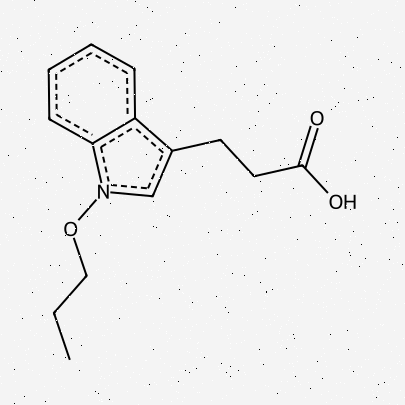 CCCOn1cc(CCC(=O)O)c2ccccc21